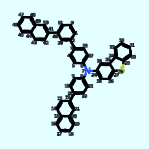 c1cc(-c2ccc(N(c3ccc(-c4ccc5ccccc5c4)cc3)c3ccc4sc5ccccc5c4c3)cc2)cc(-c2ccc3ccccc3c2)c1